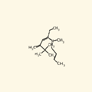 C=C(/C=C(/CC)N(C)CCCC)C(C)(C)C